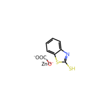 O=C([O-])[O-].Sc1nc2ccccc2s1.[Zn+2]